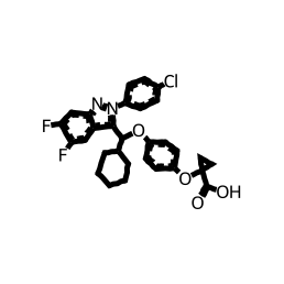 O=C(O)C1(Oc2ccc(OC(c3c4cc(F)c(F)cc4nn3-c3ccc(Cl)cc3)C3CCCCC3)cc2)CC1